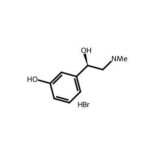 Br.CNC[C@H](O)c1cccc(O)c1